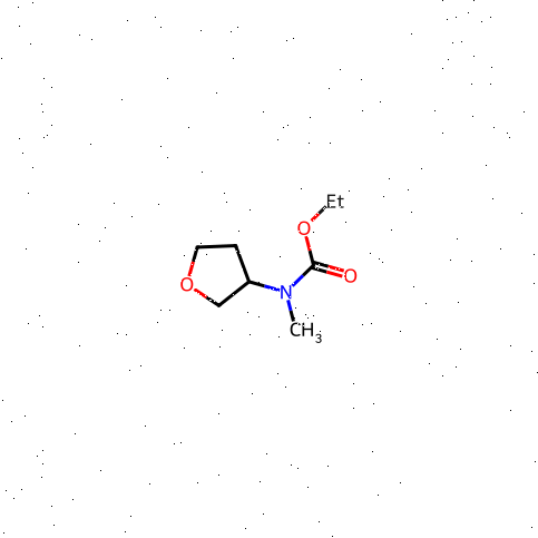 CCOC(=O)N(C)C1CCOC1